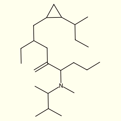 C=C(CC(CC)CC1CC1C(C)CC)C(CCC)N(C)C(C)C(C)C